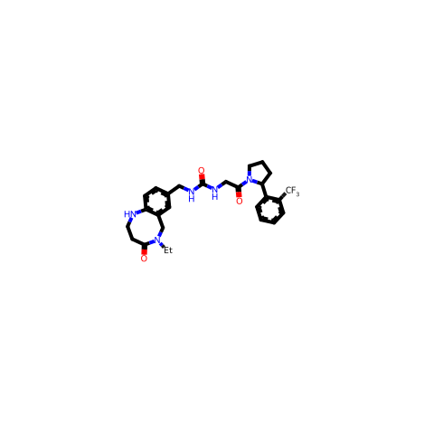 CCN1Cc2cc(CNC(=O)NCC(=O)N3CCCC3c3ccccc3C(F)(F)F)ccc2NCCC1=O